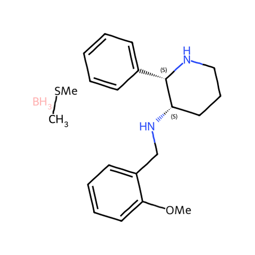 B.COc1ccccc1CN[C@H]1CCCN[C@H]1c1ccccc1.CSC